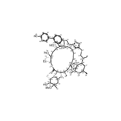 CC[C@H]1OC(=O)[C@H](C)[C@@H](O[C@H]2C[C@@](C)(OC)[C@@H](O)[C@H](C)O2)[C@H](C)[C@@H](O[C@@H]2O[C@H](C)C[C@H](N(C)CCc3cn([C@H](CF)Cc4ccc(-c5ccc(C#N)nc5)cc4)nn3)[C@H]2O)[C@](C)(O)CC[C@@H](C)CN(C)[C@H](C)[C@@H](O)C[C@]1(C)O